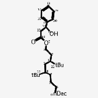 CCCCCCCCCCCCCC(CC(CCOC(=O)CC(O)c1ccccc1)C(C)(C)C)C(C)(C)C